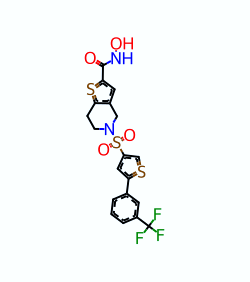 O=C(NO)c1cc2c(s1)CCN(S(=O)(=O)c1csc(-c3cccc(C(F)(F)F)c3)c1)C2